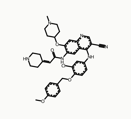 COc1ccc(COc2ccc(Nc3c(C#N)cnc4cc(OC5CCN(C)CC5)c(NC(=O)C=C5CCNCC5)cc34)cc2Cl)cc1